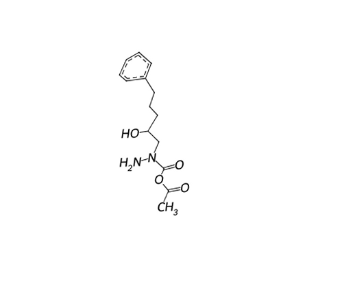 CC(=O)OC(=O)N(N)CC(O)CCCc1ccccc1